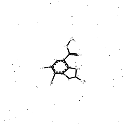 COC(=O)c1cc(F)c(Br)c2c1NC(C)C2